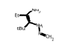 C=NN/C(=C(\N)CC)C(C)(C)C